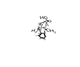 CS(C)(OP(=O)(O)O)c1ccccc1N